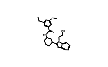 COc1cc(OC)cc(C(=O)NC2CCCC(c3nc4ccccc4n3CCO)C2)c1